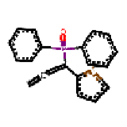 C=C=C(c1cccs1)P(=O)(c1ccccc1)c1ccccc1